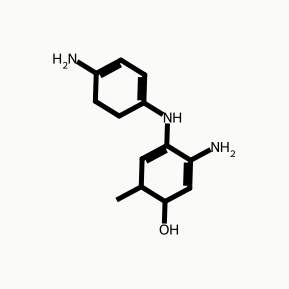 CC1C=C(NC2=CC=C(N)CC2)C(N)=CC1O